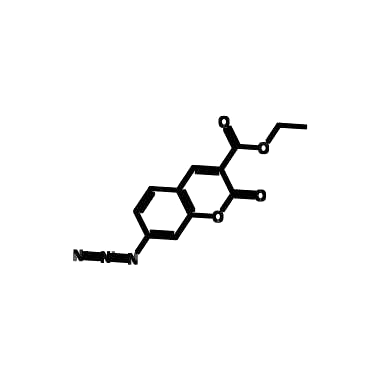 CCOC(=O)c1cc2ccc(N=[N+]=[N-])cc2oc1=O